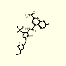 CCc1cc(Cn2nc(C(F)(F)F)c(NC(=O)c3cc(C(N)=O)nc4cc(F)ccc34)c2C)on1